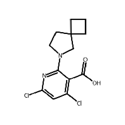 O=C(O)c1c(Cl)cc(Cl)nc1N1CCC2(CCC2)C1